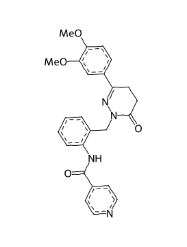 COc1ccc(C2=NN(Cc3ccccc3NC(=O)c3ccncc3)C(=O)CC2)cc1OC